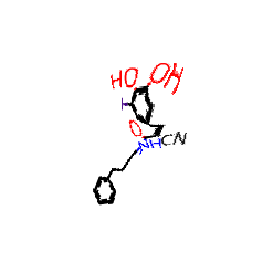 N#CC(=Cc1cc(O)c(O)c(I)c1)C(=O)NCCCc1ccccc1